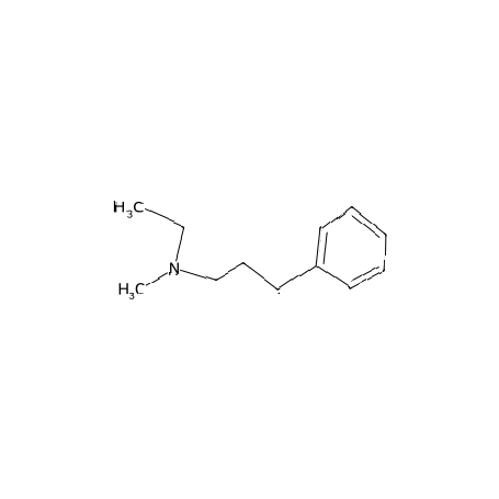 CCN(C)CC[CH]c1ccccc1